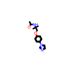 CC(=O)NC(C)(C)COc1ccc(-n2ccnc2)cc1